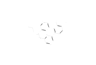 CCC[C@@H](Nc1cncc(-c2ccc(O)c(O)c2)n1)c1cccnc1